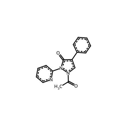 CC(=O)n1cc(-c2ccccc2)c(=O)n1-c1ccccn1